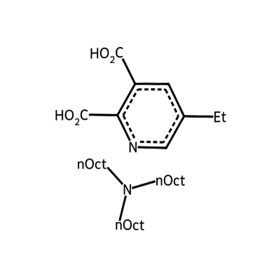 CCCCCCCCN(CCCCCCCC)CCCCCCCC.CCc1cnc(C(=O)O)c(C(=O)O)c1